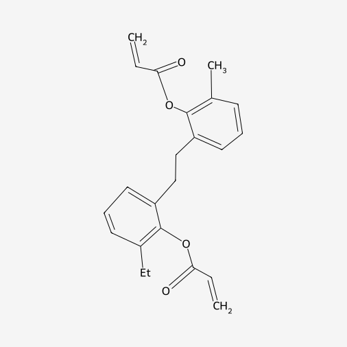 C=CC(=O)Oc1c(C)cccc1CCc1cccc(CC)c1OC(=O)C=C